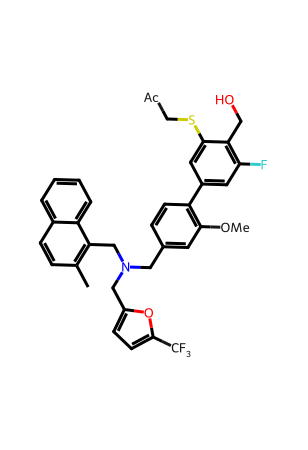 COc1cc(CN(Cc2ccc(C(F)(F)F)o2)Cc2c(C)ccc3ccccc23)ccc1-c1cc(F)c(CO)c(SCC(C)=O)c1